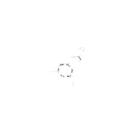 CCc1cc(Br)cc(CC(N)=O)c1